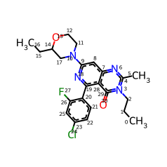 CCCn1c(C)nc2cc(N3CCOC(CC)C3)nc(-c3ccc(Cl)cc3F)c2c1=O